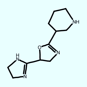 C1CNCC(C2=NCC(C3=NCCN3)O2)C1